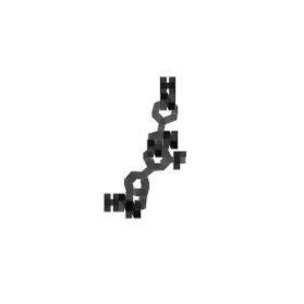 Fc1cc(-c2ccc3[nH]ncc3c2)cn2cc(C3CCNCC3)nc12